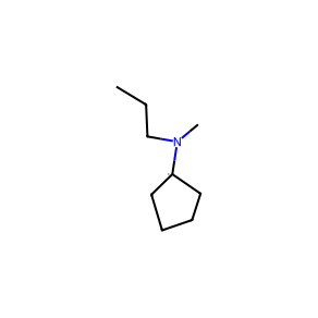 CCCN(C)[C]1CCCC1